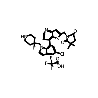 CC1(C)CC(=O)N(Cc2cc3nccc(-c4cc(Cl)cc5ccn(CC6(F)CCNCC6)c45)c3s2)C1=O.O=C(O)C(F)(F)F